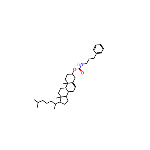 CC(C)CCCC(C)C1CCC2C3CC=C4CC(OC(=O)NCCCc5ccccc5)CCC4(C)C3CCC12C